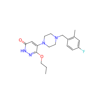 CCCOc1n[nH]c(=O)cc1N1CCN(Cc2ccc(F)cc2C)CC1